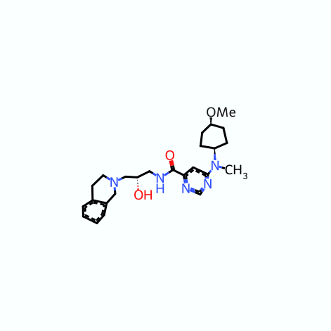 CO[C@H]1CC[C@@H](N(C)c2cc(C(=O)NC[C@H](O)CN3CCc4ccccc4C3)ncn2)CC1